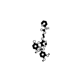 COc1ccc(Cl)c(Oc2c(NS(=O)(=O)c3ccc(OC)c(OC)c3)ncnc2OCCOC(=O)Nc2ccccn2)c1